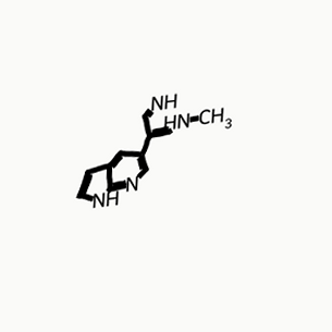 CN/C=C(\C=N)c1cnc2[nH]ccc2c1